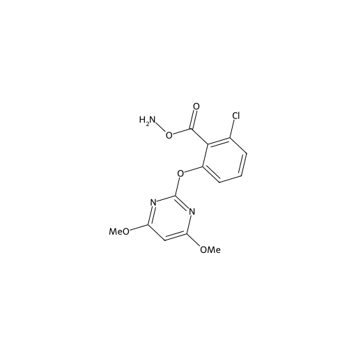 COc1cc(OC)nc(Oc2cccc(Cl)c2C(=O)ON)n1